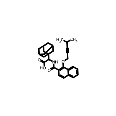 CC(C)C#CCOc1c(C(=O)NC(C(=O)O)C23CC4CC(CC(C4)C2)C3)ccc2ccccc12